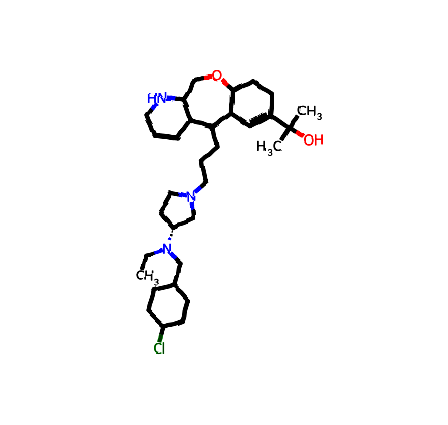 CCN(CC1CCC(Cl)CC1)[C@@H]1CCN(CCCC2C3C=C(C(C)(C)O)CCC3OCC3NCCCC32)C1